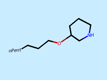 CCCCCCCCOC1CCCNC1